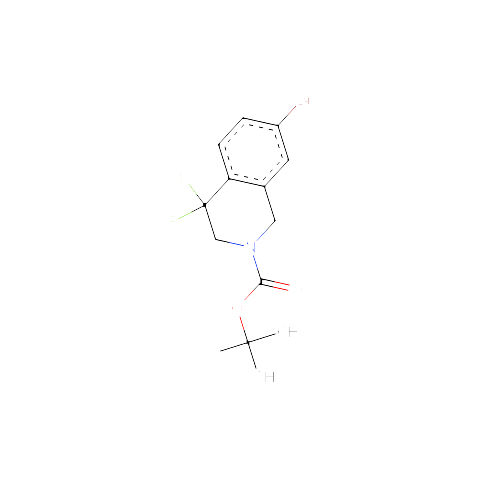 CC(C)(C)OC(=O)N1Cc2cc(Br)ccc2C(F)(F)C1